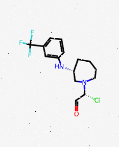 O=C[C@@H](Cl)N1CCCC[C@@H](Nc2cccc(C(F)(F)F)c2)C1